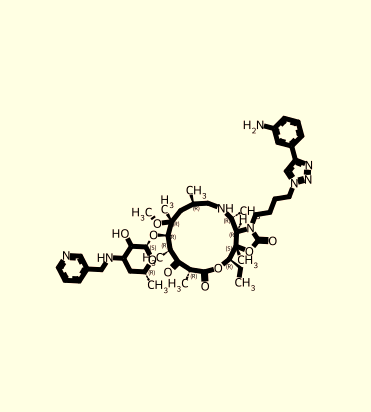 CC[C@H]1OC(=O)[C@H](C)C(=O)[C@H](C)[C@@H](O[C@@H]2O[C@H](C)CC(NCc3cccnc3)C2O)[C@](C)(OC)C[C@@H](C)CN[C@H](C)[C@H]2N(CCCCn3cc(-c4cccc(N)c4)nn3)C(=O)O[C@]12C